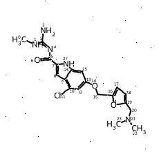 CNC(N)=NC(=O)c1cc2c(Cl)cc(OCc3ccc(CN(C)C)o3)cc2[nH]1